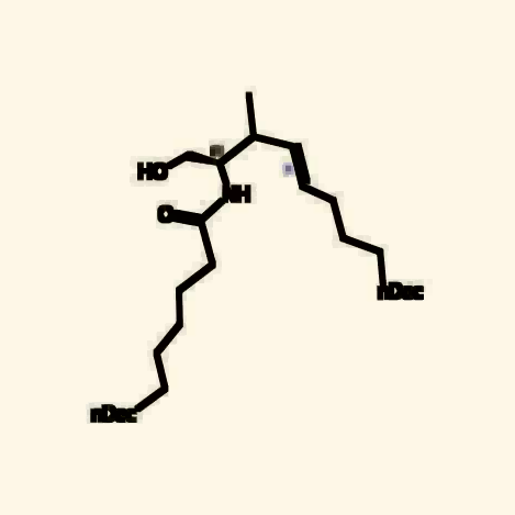 CCCCCCCCCCCCC/C=C/C(C)[C@H](CO)NC(=O)CCCCCCCCCCCCCCC